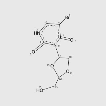 O=c1[nH]cc(Br)c(=O)n1C1COC(CO)O1